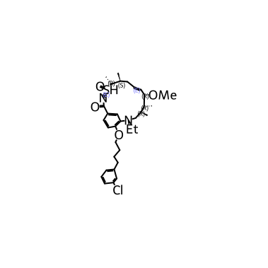 CCN1C[C@H](C)[C@@H](C)[C@@H](OC)/C=C/C[C@H](C)[C@@H](C)/[SH](=O)=N\C(=O)c2ccc(OCCCCc3cccc(Cl)c3)c1c2